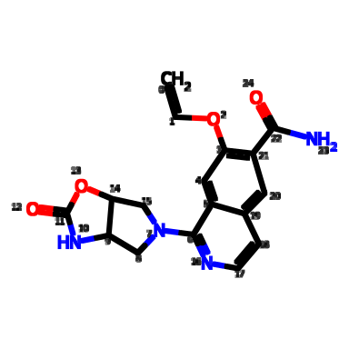 C=COc1cc2c(N3CC4NC(=O)OC4C3)nccc2cc1C(N)=O